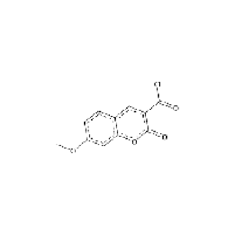 COc1ccc2cc(C(=O)Cl)c(=O)oc2c1